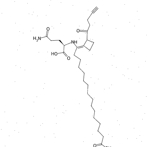 C#CCCC(=O)C1CC/C1=C(\CCCCCCCCCCCCCCC(=O)O)N[C@H](CCC(N)=O)C(=O)O